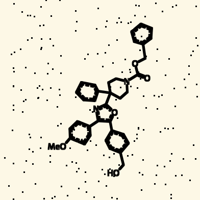 COc1ccc(-c2nc(C3(c4ccccc4)CCN(C(=O)OCc4ccccc4)CC3)oc2-c2ccc(CO)cc2)cc1